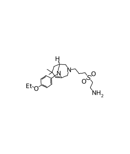 CCOc1ccc(N2C[C@H]3CN(CCCS(=O)(=O)CCN)CC2=CC(C)(C)C3)cc1